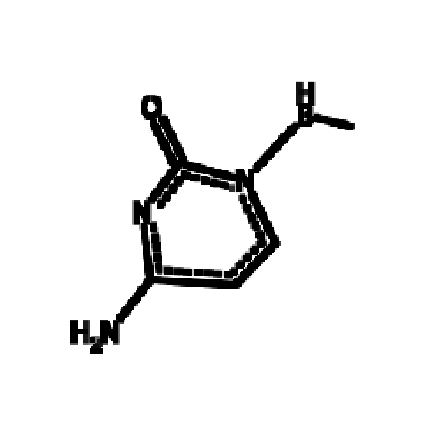 CBn1ccc(N)nc1=O